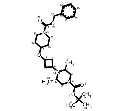 C[C@H]1CN(C(=O)OC(C)(C)C)C[C@H](C)N1C1CC(OC2CCN(C(=O)OCc3ccccc3)CC2)C1